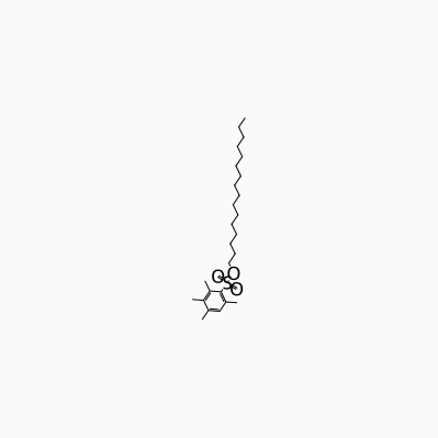 CCCCCCCCCCCCCCCCOS(=O)(=O)c1c(C)cc(C)c(C)c1C